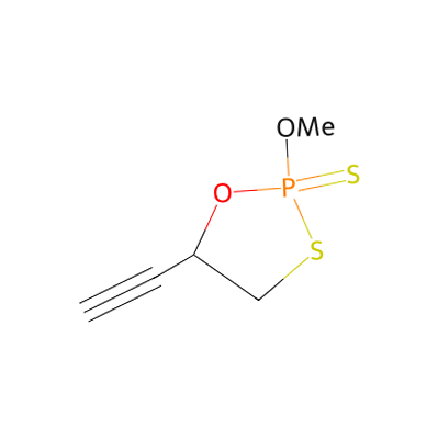 C#CC1CSP(=S)(OC)O1